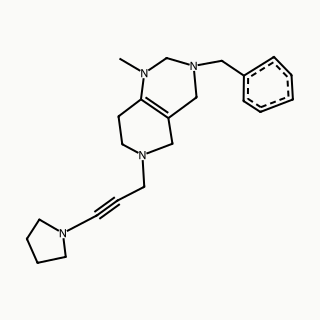 CN1CN(Cc2ccccc2)CC2=C1CCN(CC#CN1CCCC1)C2